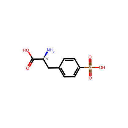 N[C@@H](Cc1ccc(S(=O)(=O)O)cc1)C(=O)O